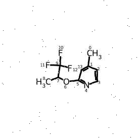 Cc1ccnc(OC(C)C(F)(F)F)c1